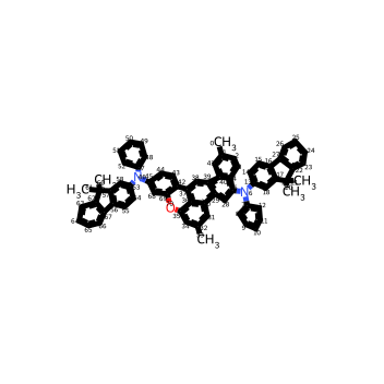 Cc1ccc2c(N(c3ccccc3)c3ccc4c(c3)C(C)(C)c3ccccc3-4)cc3c4cc(C)cc5c4c(cc3c2c1)-c1ccc(N(c2ccccc2)c2ccc3c(c2)C(C)(C)c2ccccc2-3)cc1O5